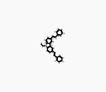 CCn1c2ccc(C=Cc3ccccc3)cc2c2cc(C=Cc3ccccc3)ccc21